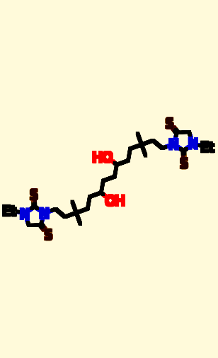 CCN1CC(=S)N(CCC(C)(C)CCC(O)CCC(O)CCC(C)(C)CCN2C(=S)CN(CC)C2=S)C1=S